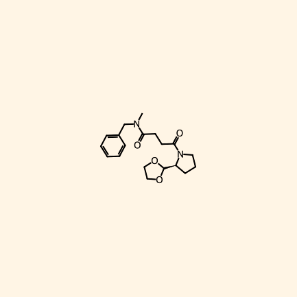 CN(Cc1ccccc1)C(=O)CCC(=O)N1CCC[C@H]1C1OCCO1